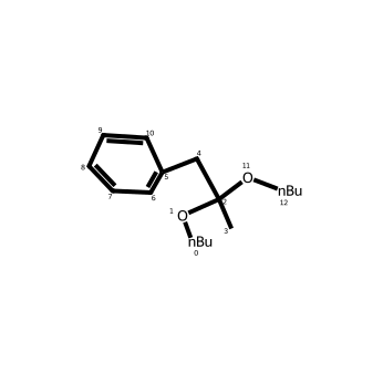 CCCCOC(C)(Cc1ccccc1)OCCCC